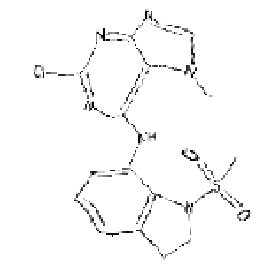 Cn1cnc2nc(Cl)nc(Nc3cccc4c3N(S(C)(=O)=O)CC4)c21